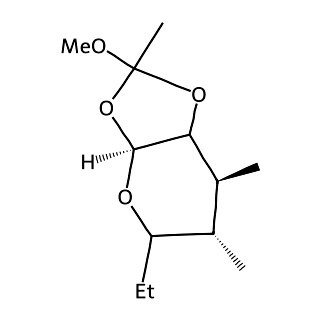 CCC1O[C@H]2OC(C)(OC)OC2[C@@H](C)[C@@H]1C